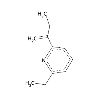 C=C(CC)c1cccc(CC)n1